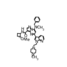 CO[C@H]1CCC1NC(=O)c1cnn2c(N(C)Cc3ccccc3)cc(-c3cn(CCN4CCN(C)CC4)c4ncccc34)nc12